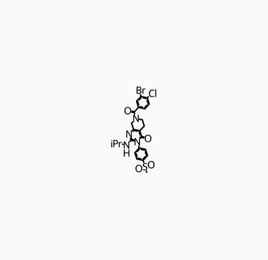 CC(C)Nc1nc2c(c(=O)n1-c1ccc(S(C)(=O)=O)cc1)CCN(C(=O)c1ccc(Cl)c(Br)c1)C2